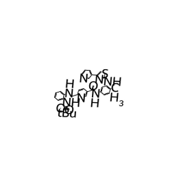 Cc1ccc(NC(=O)c2ccc(CNc3ccccc3NC(=O)OC(C)(C)C)nc2)cc1Nc1nc(-c2cccnc2)cs1